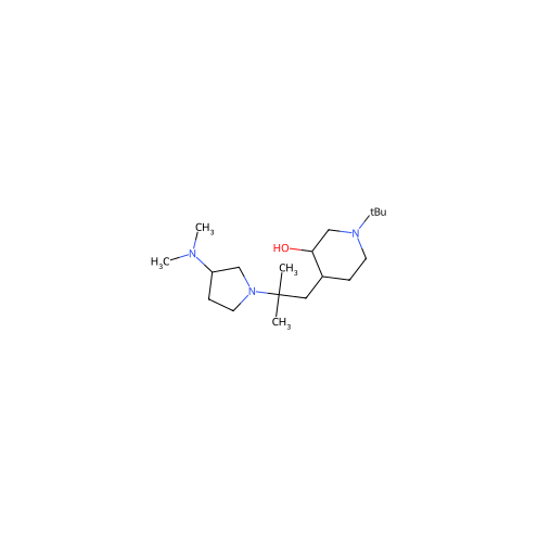 CN(C)C1CCN(C(C)(C)CC2CCN(C(C)(C)C)CC2O)C1